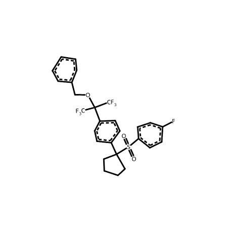 O=S(=O)(c1ccc(F)cc1)C1(c2ccc(C(OCc3ccccc3)(C(F)(F)F)C(F)(F)F)cc2)CCCC1